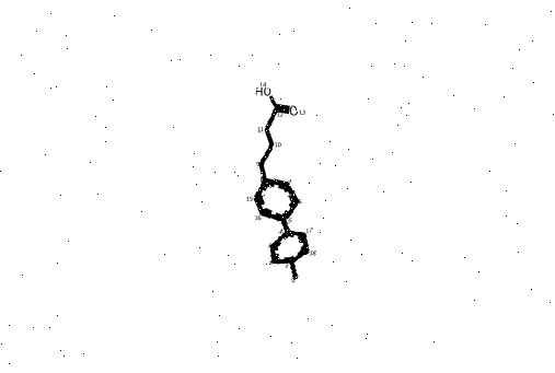 Cc1ccc(-c2ccc(CCCC(=O)O)cc2)cc1